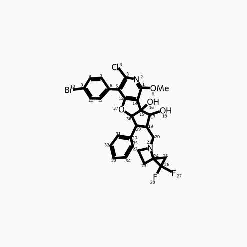 COc1nc(Cl)c(-c2ccc(Br)cc2)c2c1C1(O)C(O)C(CN3CCC34CC4(F)F)C(c3ccccc3)C1O2